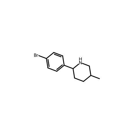 CC1CCC(c2ccc(Br)cc2)NC1